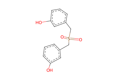 O=S(=O)(Cc1cccc(O)c1)Cc1cccc(O)c1